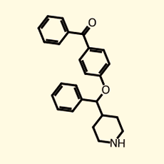 O=C(c1ccccc1)c1ccc(OC(c2ccccc2)C2CCNCC2)cc1